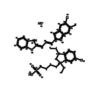 CCN1C[N+](CC)(CCCCS(=O)(=O)O)c2cc(Cl)ccc21.Cc1cc2oc(C=CC=C3Nc4ccccc4O3)nc2cc1Cl.[OH-]